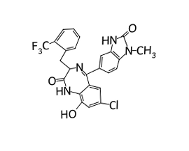 Cn1c(=O)[nH]c2cc(C3=NC(Cc4ccccc4C(F)(F)F)C(=O)Nc4c(O)cc(Cl)cc43)ccc21